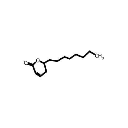 CCCCCCCCC1CC=CC(=O)O1